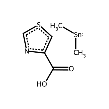 O=C(O)c1cscn1.[CH3][Sn][CH3]